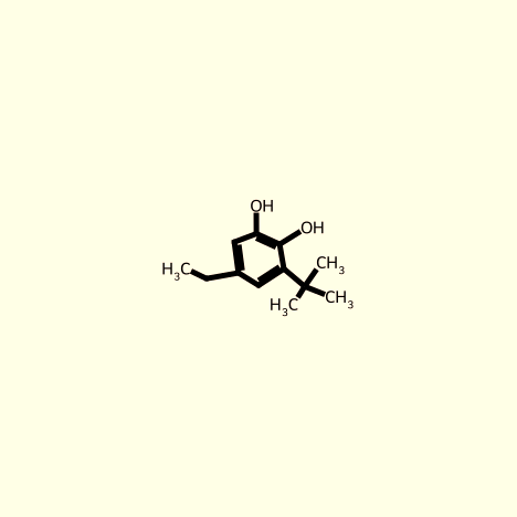 CCc1cc(O)c(O)c(C(C)(C)C)c1